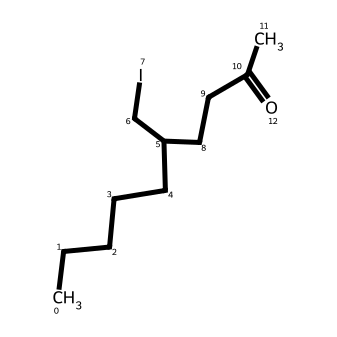 CCCCCC(CI)CCC(C)=O